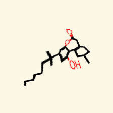 CCCCCCC(C)(C)c1cc(O)c2c(c1)OC(=O)CC1=C2CC(C)CC1